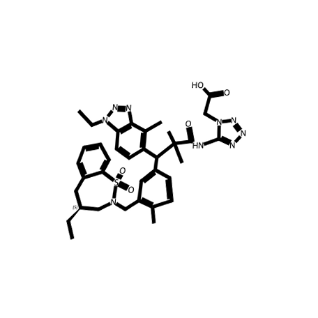 CC[C@H]1Cc2ccccc2S(=O)(=O)N(Cc2cc(C(c3ccc4c(nnn4CC)c3C)C(C)(C)C(=O)Nc3nnnn3CC(=O)O)ccc2C)C1